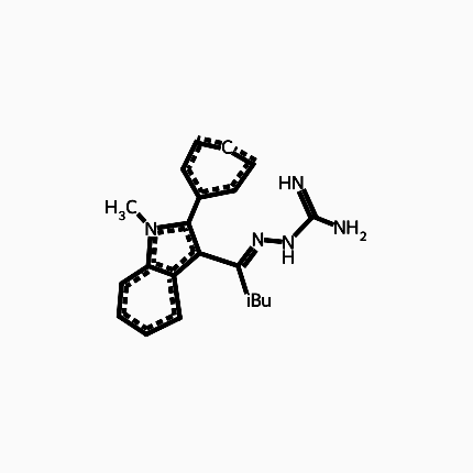 CCC(C)/C(=N\NC(=N)N)c1c(-c2ccccc2)n(C)c2ccccc12